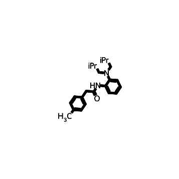 Cc1ccc(CC(=O)Nc2ccccc2N(CC(C)C)CC(C)C)cc1